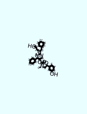 CN(CC(O)c1cccc(O)c1)C(=O)Oc1cnc(N(CCO)Cc2ccccc2)nc1-c1ccccc1